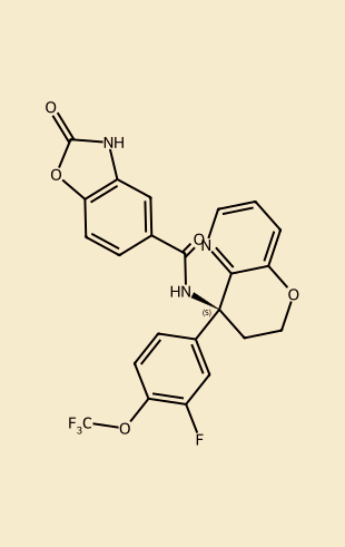 O=C(N[C@]1(c2ccc(OC(F)(F)F)c(F)c2)CCOc2cccnc21)c1ccc2oc(=O)[nH]c2c1